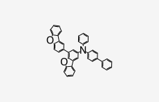 c1ccc(-c2ccc(N(c3ccccc3)c3cc(-c4ccc5oc6ccccc6c5c4)c4oc5ccccc5c4c3)cc2)cc1